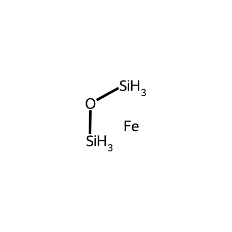 [Fe].[SiH3]O[SiH3]